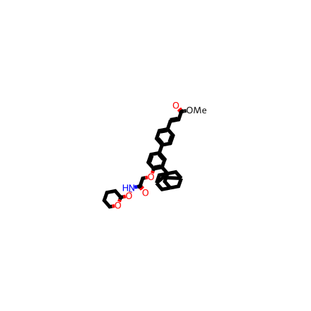 COC(=O)C=Cc1ccc(-c2ccc(OCC(=O)NOC3CCCCO3)c(C34CC5CC(CC(C5)C3)C4)c2)cc1